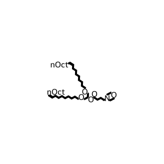 CCCCCCCC/C=C\CCCCCCCCOCC(COCCCCCCCC/C=C\CCCCCCCC)OC(=O)CCCN1CCOCC1